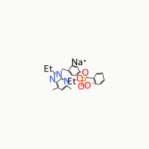 CCOP(=O)([O-])C(Oc1ccc(Cn2c(CC)nc3c(C)cc(C)nc32)cc1)c1ccccc1.[Na+]